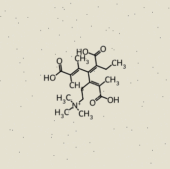 CCC(C(=O)O)=C(C(C)=C(C)C(=O)O)C(CC[N+](C)(C)C)=C(C)C(=O)O